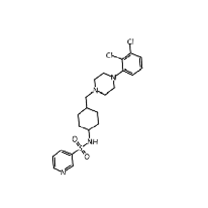 O=S(=O)(NC1CCC(CN2CCN(c3cccc(Cl)c3Cl)CC2)CC1)c1cccnc1